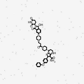 NC(=O)c1c(-c2ccc(Oc3ccccc3)cc2)nn2c1NCC[C@H]2C1CCN(C(=O)CCN2CCN(c3ccc4c(c3)C(=O)N(C3CCC(=O)NC3=O)C4O)CC2)CC1